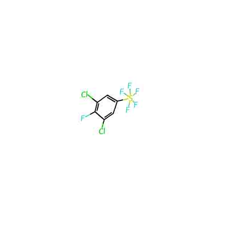 Fc1c(Cl)cc(S(F)(F)(F)(F)F)cc1Cl